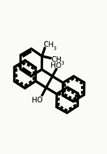 CC1(C)C=CC=CC1C(O)(c1ccccc1)C(O)(c1ccccc1)c1ccccc1